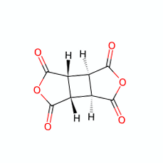 O=C1OC(=O)[C@H]2[C@@H]1[C@@H]1C(=O)OC(=O)[C@@H]12